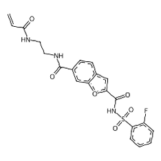 C=CC(=O)NCCNC(=O)c1ccc2cc(C(=O)NS(=O)(=O)c3ccccc3F)oc2c1